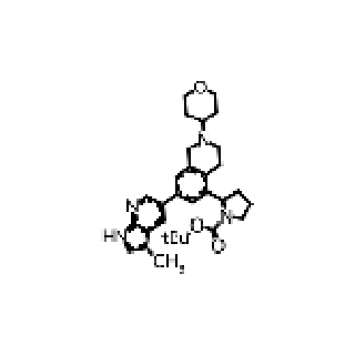 Cc1c[nH]c2ncc(-c3cc4c(c(C5CCCN5C(=O)OC(C)(C)C)c3)CCN(C3CCOCC3)C4)cc12